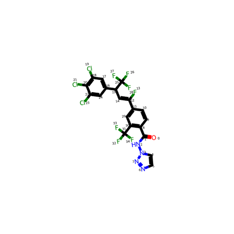 O=C(Nn1ccnn1)c1ccc(/C(F)=C/C(c2cc(Cl)c(Cl)c(Cl)c2)C(F)(F)F)cc1C(F)(F)F